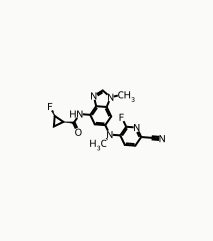 CN(c1cc(NC(=O)[C@H]2C[C@H]2F)c2ncn(C)c2c1)c1ccc(C#N)nc1F